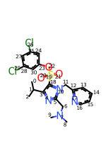 CC(C)c1nc(CN(C)C)n(Cc2ccccn2)c1S(=O)(=O)Oc1cc(Cl)cc(Cl)c1